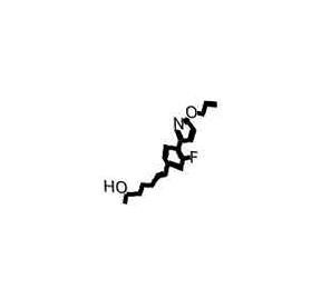 C=CCOc1ccc(-c2ccc(C=CCCCC(C)O)cc2F)cn1